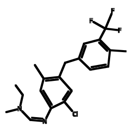 CCN(C)/C=N\c1cc(C)c(Cc2ccc(C)c(C(F)(F)F)c2)cc1Cl